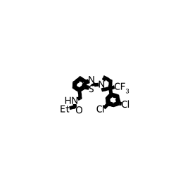 CCC(=O)NCc1cccc2nc(N3CCC(c4cc(Cl)cc(Cl)c4)(C(F)(F)F)C3)sc12